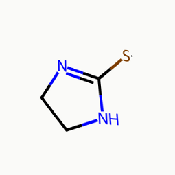 [S]C1=NCCN1